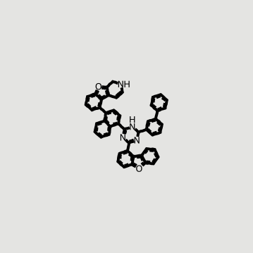 C1=Cc2c(oc3cccc(-c4ccc(C5=NC(c6cccc7oc8ccccc8c67)=NC(c6cccc(-c7ccccc7)c6)N5)c5ccccc45)c23)CN1